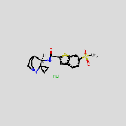 CS(=O)(=O)c1ccc2cc(C(=O)N[C@@H]3C4CCN(CC4)C34CC4)sc2c1.Cl